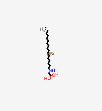 Br.CCCCCCCCCCCCCCCCCNCC(O)O